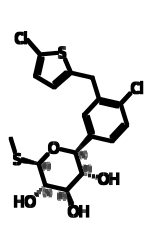 CS[C@H]1O[C@@H](c2ccc(Cl)c(Cc3ccc(Cl)s3)c2)[C@H](O)[C@@H](O)[C@@H]1O